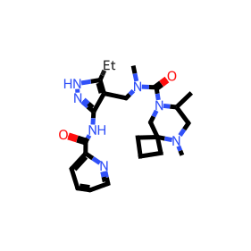 CCc1[nH]nc(NC(=O)c2ccccn2)c1CN(C)C(=O)N1CC2(CCC2)N(C)CC1C